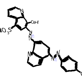 N#Cc1ccc(/N=N/c2ccc(/N=N/c3cc(S(=O)(=O)O)c4cccnc4c3O)c3ncccc23)cc1